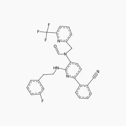 N#Cc1ccccc1-c1ccc(N(C=O)Cc2cccc(C(F)(F)F)n2)c(NCCc2cccc(F)c2)n1